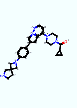 O=C(C1CC1)N1CCN(c2ccnn3cc(-c4ccc(N5CC6(CCNC6)C5)cc4)cc23)CC1